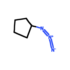 [N-]=[N+]=N[C]1CCCC1